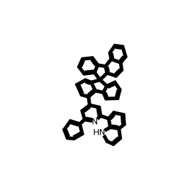 C1=Cc2cccc(-c3cc(-c4cccc5c4-c4ccccc4C54c5ccccc5-c5c4ccc4ccccc54)cc(-c4ccccc4)n3)c2NC1